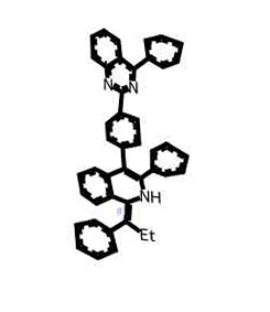 CC/C(=C1\NC(c2ccccc2)=C(c2ccc(-c3nc(-c4ccccc4)c4ccccc4n3)cc2)c2ccccc21)c1ccccc1